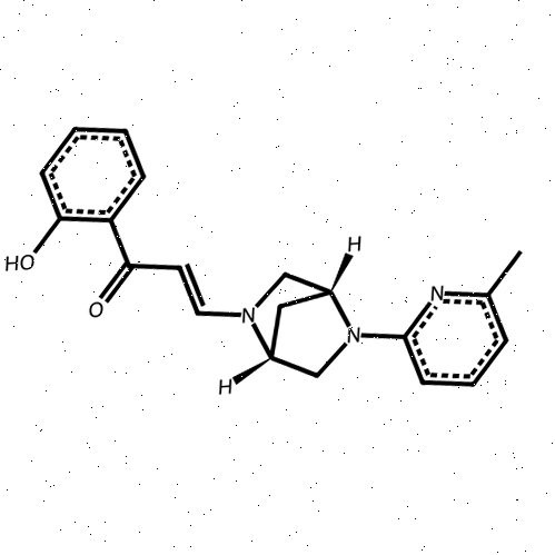 Cc1cccc(N2C[C@H]3C[C@@H]2CN3/C=C/C(=O)c2ccccc2O)n1